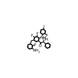 Nc1cccc(Cc2cc(C(=O)C(O)c3ccccc3)c(Nc3ccc(I)cc3F)c(F)c2F)c1F